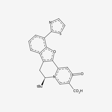 CC(C)(C)[C@H]1Cc2c(oc3c(-c4nccs4)cccc23)-c2cc(=O)c(C(=O)O)cn21